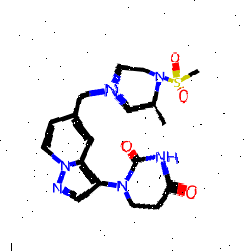 C[C@H]1CN(Cc2ccn3ncc(N4CCC(=O)NC4=O)c3c2)CCN1S(C)(=O)=O